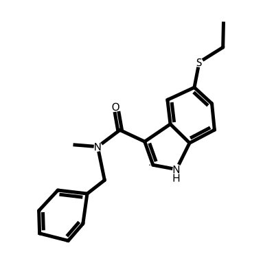 CCSc1ccc2[nH][c]c(C(=O)N(C)Cc3ccccc3)c2c1